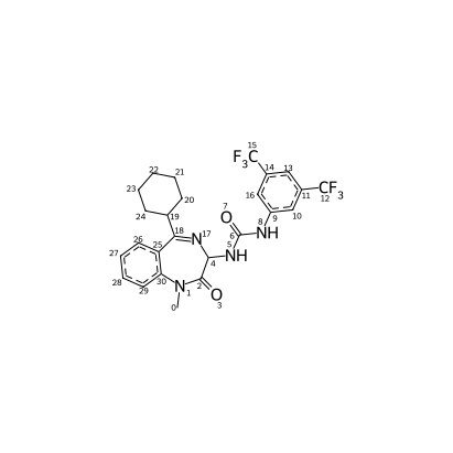 CN1C(=O)C(NC(=O)Nc2cc(C(F)(F)F)cc(C(F)(F)F)c2)N=C(C2CCCCC2)c2ccccc21